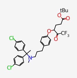 CN(CCCc1ccc(OC(CCC(=O)OC(C)(C)C)C(=O)C(F)(F)F)cc1)C(C)(c1ccc(Cl)cc1)c1ccc(Cl)cc1